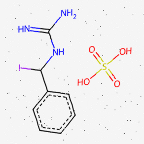 N=C(N)NC(I)c1ccccc1.O=S(=O)(O)O